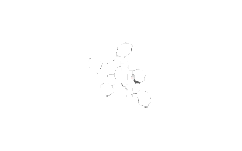 c1ccc(-n2c3ccccc3c3c4cccnc4c4c5ccccc5n(-c5ncc6ccccc6n5)c4c32)cc1